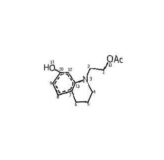 CC(=O)OCCN1CCCc2ccc(O)cc21